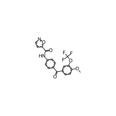 COc1ccc(C(=O)c2ccc(NC(=O)c3ccno3)cc2)cc1OC(F)(F)F